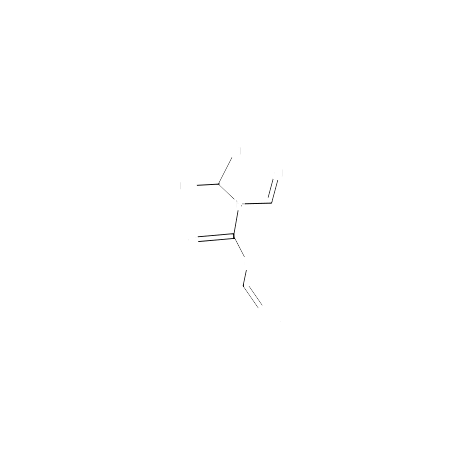 C=COC(=O)N(C=C)C(C)C